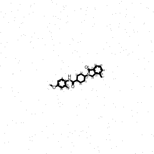 COc1ccc(NC(=O)C2CCC(N3Cc4c(C)cccc4C3=O)CC2)c(F)c1